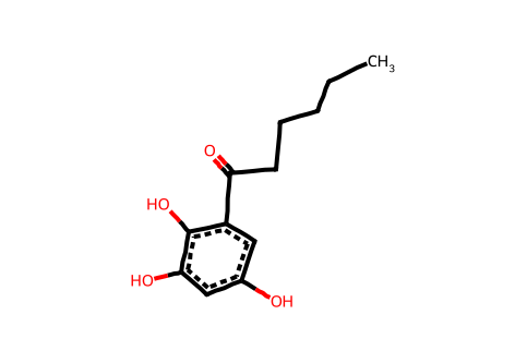 CCCCCC(=O)c1cc(O)cc(O)c1O